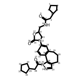 O=C(CC1CCCC1)NCC1CN(c2ccc3c(c2)CCCc2cnn(C(=O)CC4CCCC4)c2-3)C(=O)O1